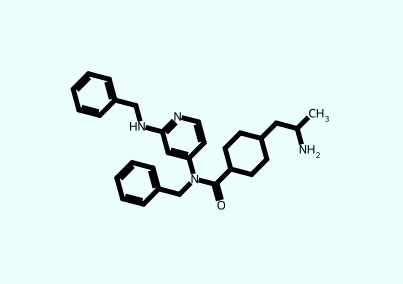 CC(N)CC1CCC(C(=O)N(Cc2ccccc2)c2ccnc(NCc3ccccc3)c2)CC1